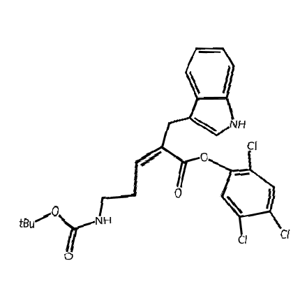 CC(C)(C)OC(=O)NCCC=C(Cc1c[nH]c2ccccc12)C(=O)Oc1cc(Cl)c(Cl)cc1Cl